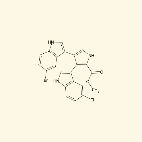 COC(=O)c1[nH]cc(-c2c[nH]c3ccc(Br)cc23)c1-c1c[nH]c2ccc(Cl)cc12